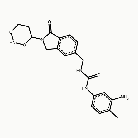 Cc1ccc(NC(=O)NCc2ccc3c(c2)CN(C2CCONO2)C3=O)cc1N